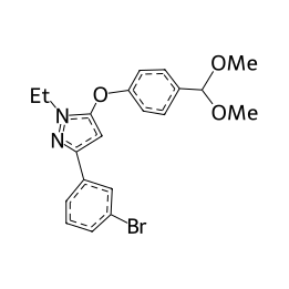 CCn1nc(-c2cccc(Br)c2)cc1Oc1ccc(C(OC)OC)cc1